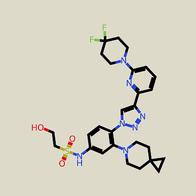 O=S(=O)(CCO)Nc1ccc(-n2cc(-c3cccc(N4CCC(F)(F)CC4)n3)nn2)c(N2CCC3(CC2)CC3)c1